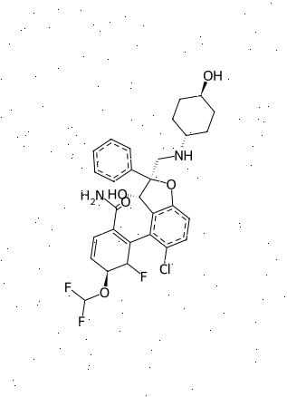 NC(=O)C1=C(c2c(Cl)ccc3c2[C@H](O)[C@@](CN[C@H]2CC[C@H](O)CC2)(c2ccccc2)O3)C(F)[C@@H](OC(F)F)C=C1